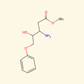 CC(C)(C)OC(=O)CC(N)C(O)COc1ccccc1